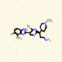 CCc1nc(C(CCN)C2CCN(C)CC2)ncc1-c1nc2c(C)c(F)ccc2[nH]1